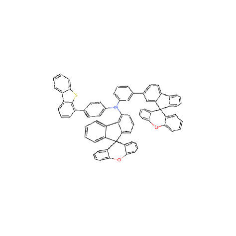 c1cc(-c2ccc3c(c2)C2(c4ccccc4Oc4ccccc42)c2ccccc2-3)cc(N(c2ccc(-c3cccc4c3sc3ccccc34)cc2)c2cccc3c2-c2ccccc2C32c3ccccc3Oc3ccccc32)c1